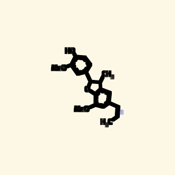 C/C=C\c1cc(OC)c2c(c1)C(C)C(c1ccc(O)c(OC)c1)O2